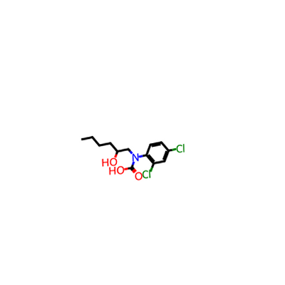 CCCCC(O)CN(C(=O)O)c1ccc(Cl)cc1Cl